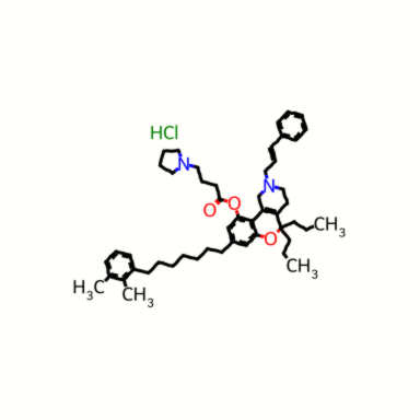 CCCC1(CCC)Oc2cc(CCCCCCCc3cccc(C)c3C)cc(OC(=O)CCCN3CCCC3)c2C2=C1CCN(CC=Cc1ccccc1)C2.Cl